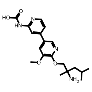 COc1cc(-c2ccnc(NC(=O)O)c2)cnc1OCC(C)(N)CC(C)C